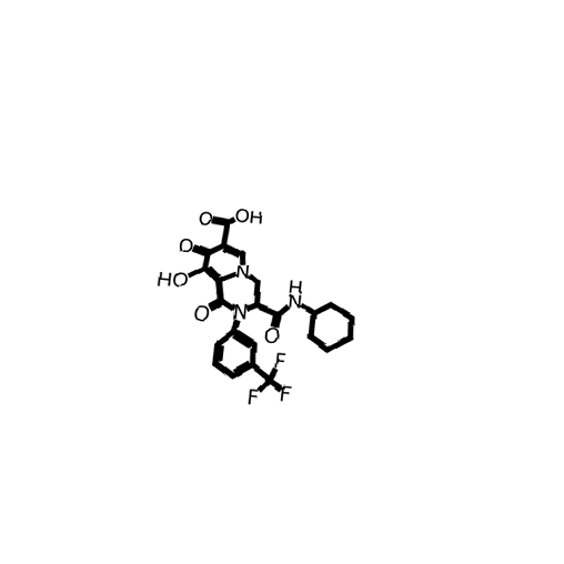 O=C(O)c1cn2c(c(O)c1=O)C(=O)N(c1cccc(C(F)(F)F)c1)C(C(=O)NC1CCCCC1)C2